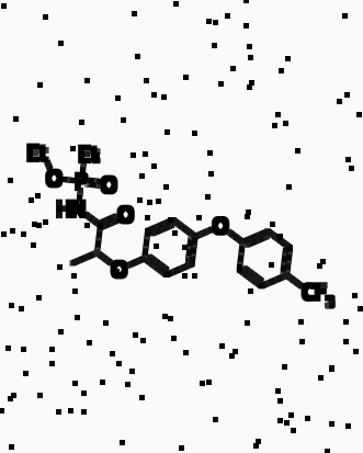 CCOP(=O)(CC)NC(=O)C(C)Oc1ccc(Oc2ccc(C(F)(F)F)cc2)cc1